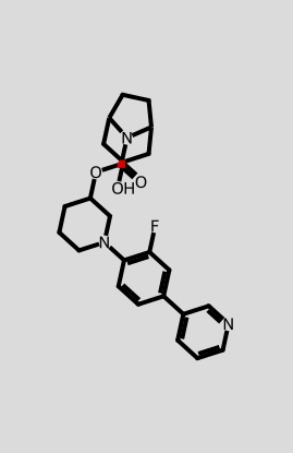 O=C(OC1CCCN(c2ccc(-c3cccnc3)cc2F)C1)N1C2CCC1CC(O)C2